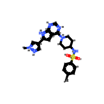 CCc1ccc(S(=O)(=O)NC2CCN(c3ncnc4[nH]c(-c5cnn(C)c5)cc34)CC2)cc1